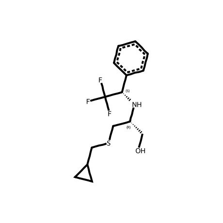 OC[C@H](CSCC1CC1)N[C@@H](c1ccccc1)C(F)(F)F